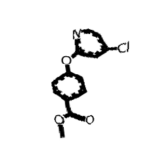 COC(=O)c1ccc(Oc2cc(Cl)ccn2)cc1